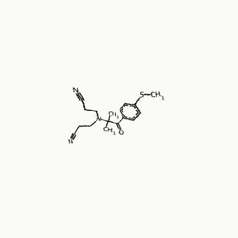 CSc1ccc(C(=O)C(C)(C)N(CCC#N)CCC#N)cc1